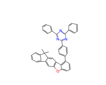 CC1(C)c2ccccc2-c2cc3oc4cccc(-c5ccc(-c6nc(-c7ccccc7)nc(-c7ccccc7)n6)cc5)c4c3cc21